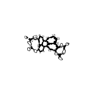 O=C1OC(=O)Oc2ccc3c4cc5oc(=O)oc(=O)oc5c5cccc(c6ccc(c2c63)O1)c45